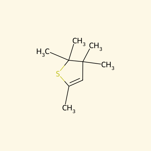 CC1=CC(C)(C)C(C)(C)S1